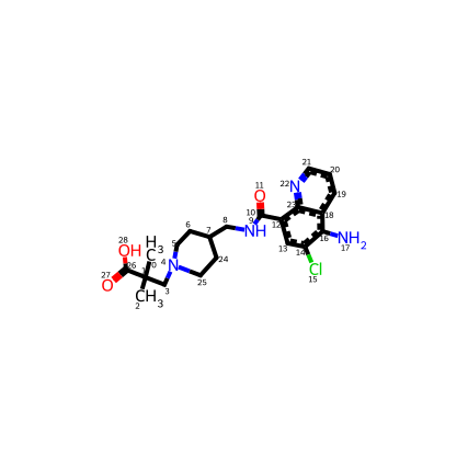 CC(C)(CN1CCC(CNC(=O)c2cc(Cl)c(N)c3cccnc23)CC1)C(=O)O